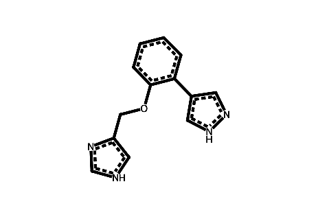 c1ccc(-c2cn[nH]c2)c(OCc2c[nH]cn2)c1